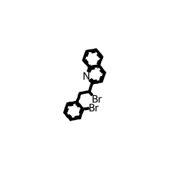 Brc1ccccc1CC(Br)c1ccc2ccccc2n1